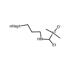 CCCCCCCCCCNC(CC)[N+](C)(C)[O-]